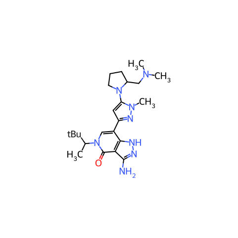 CC(n1cc(-c2cc(N3CCCC3CN(C)C)n(C)n2)c2[nH]nc(N)c2c1=O)C(C)(C)C